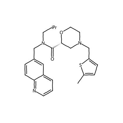 Cc1ccc(CN2CCO[C@@H](C(=O)N(Cc3ccc4ncccc4c3)CC(C)C)C2)s1